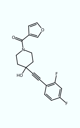 O=C(c1ccoc1)N1CCC(O)(C#Cc2ccc(F)cc2F)CC1